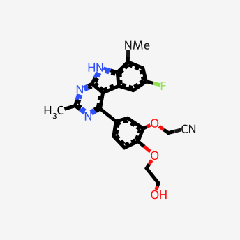 CNc1cc(F)cc2c1[nH]c1nc(C)nc(-c3ccc(OCCO)c(OCC#N)c3)c12